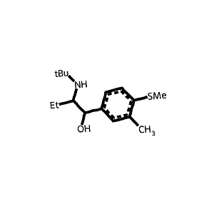 CCC(NC(C)(C)C)C(O)c1ccc(SC)c(C)c1